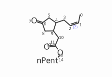 C/C=C\CC1CC(=O)CC1CC(=O)OCCCCC